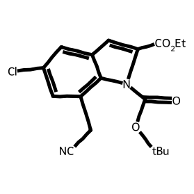 CCOC(=O)c1cc2cc(Cl)cc(CC#N)c2n1C(=O)OC(C)(C)C